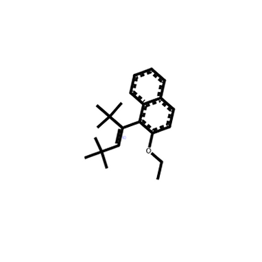 CCOc1ccc2ccccc2c1/C(=C/C(C)(C)C)C(C)(C)C